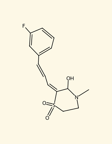 CN1CCS(=O)(=O)/C(=C/C=C/c2cccc(F)c2)C1O